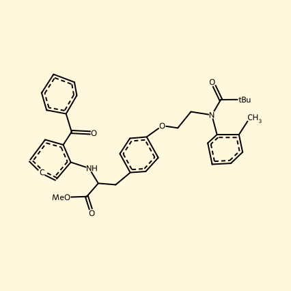 COC(=O)C(Cc1ccc(OCCN(C(=O)C(C)(C)C)c2ccccc2C)cc1)Nc1ccccc1C(=O)c1ccccc1